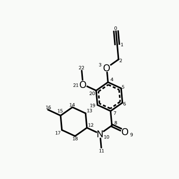 C#CCOc1ccc(C(=O)N(C)C2CCC(C)CC2)cc1OC